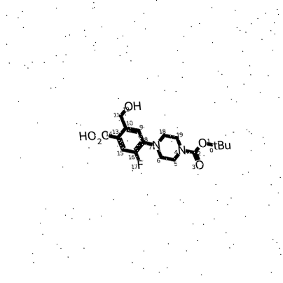 CC(C)(C)OC(=O)N1CCN(c2cc(CO)c(C(=O)O)cc2F)CC1